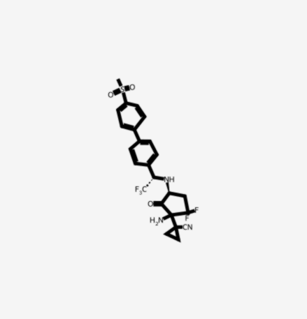 CS(=O)(=O)c1ccc(-c2ccc([C@H](N[C@H]3CC(F)(F)C(N)(C4(C#N)CC4)C3=O)C(F)(F)F)cc2)cc1